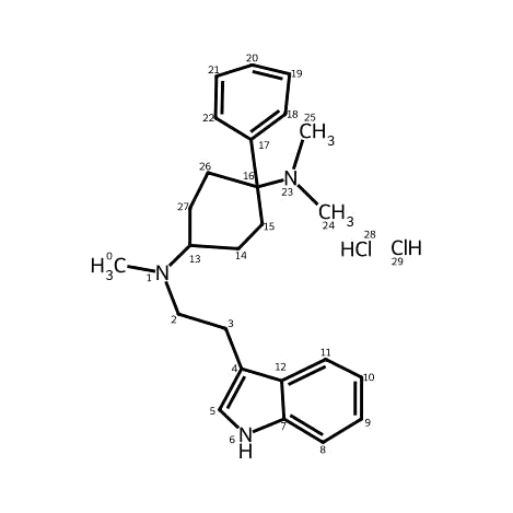 CN(CCc1c[nH]c2ccccc12)C1CCC(c2ccccc2)(N(C)C)CC1.Cl.Cl